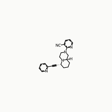 N#Cc1cccnc1N1CCN2[C@@H](CCC[C@@H]2C#Cc2ccccn2)C1